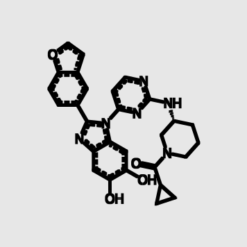 O=C(C1CC1)N1CCC[C@@H](Nc2nccc(-n3c(-c4ccc5occc5c4)nc4cc(O)c(O)cc43)n2)C1